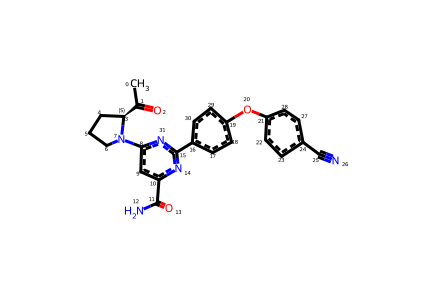 CC(=O)[C@@H]1CCCN1c1cc(C(N)=O)nc(-c2ccc(Oc3ccc(C#N)cc3)cc2)n1